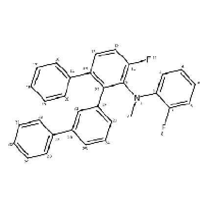 CN(c1ccccc1F)c1c(F)ccc(-c2ccccc2)c1-c1cccc(-c2ccccc2)c1